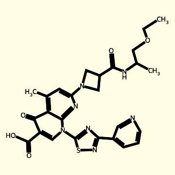 CCOCC(C)NC(=O)C1CN(c2cc(C)c3c(=O)c(C(=O)O)cn(-c4nc(-c5cccnc5)ns4)c3n2)C1